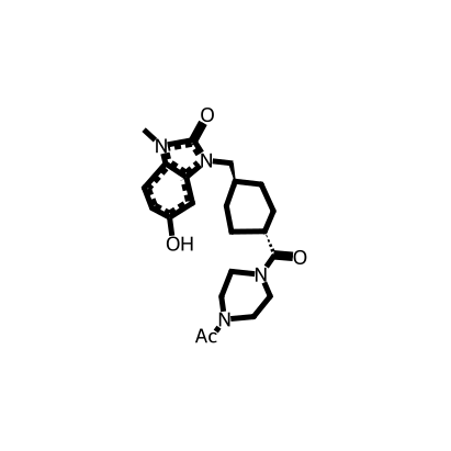 CC(=O)N1CCN(C(=O)[C@H]2CC[C@H](Cn3c(=O)n(C)c4ccc(O)cc43)CC2)CC1